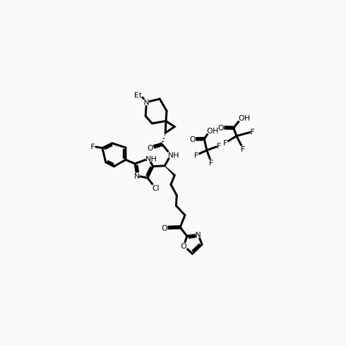 CCN1CCC2(CC1)C[C@@H]2C(=O)N[C@@H](CCCCCC(=O)c1ncco1)c1[nH]c(-c2ccc(F)cc2)nc1Cl.O=C(O)C(F)(F)F.O=C(O)C(F)(F)F